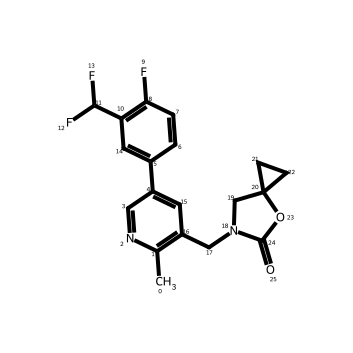 Cc1ncc(-c2ccc(F)c(C(F)F)c2)cc1CN1CC2(CC2)OC1=O